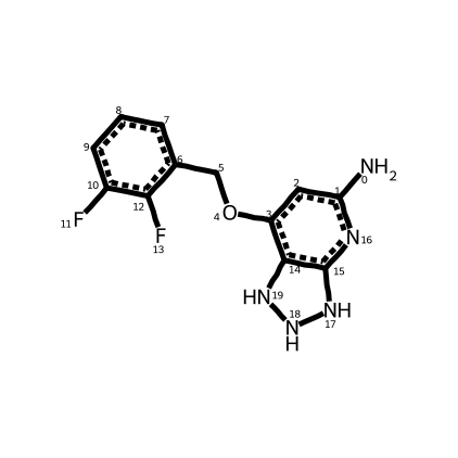 Nc1cc(OCc2cccc(F)c2F)c2c(n1)NNN2